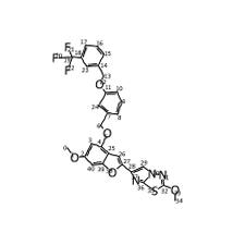 COc1cc(OCc2cccc(OCc3cccc(C(F)(F)F)c3)c2)c2cc(-c3cn4nc(OC)sc4n3)oc2c1